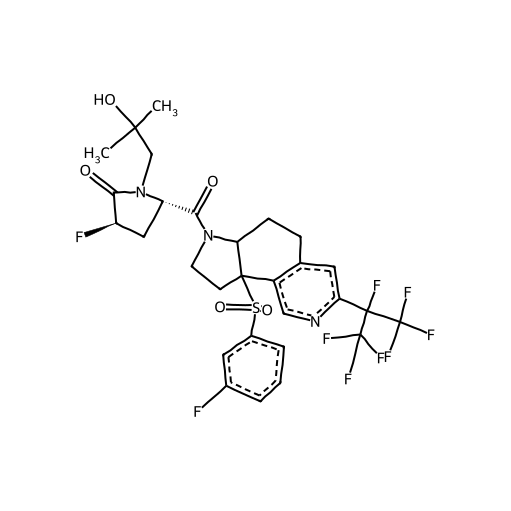 CC(C)(O)CN1C(=O)[C@H](F)C[C@H]1C(=O)N1CCC2(S(=O)(=O)c3cccc(F)c3)c3cnc(C(F)(C(F)(F)F)C(F)(F)F)cc3CCC12